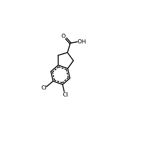 O=C(O)C1Cc2cc(Cl)c(Cl)cc2C1